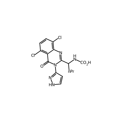 CCCC(NC(=O)O)c1nc2c(Cl)ccc(Cl)c2c(=O)n1-c1cc[nH]n1